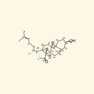 CC(C)=CCC[C@@H](C)[C@H]1CC(=O)[C@H]2[C@@H]3CC=C4C[C@H](O)CC[C@]4(C)[C@H]3CC[C@]12C